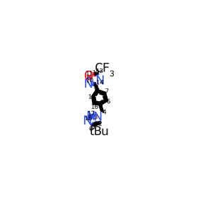 CC(C)(C)c1cn(Cc2ccc(-c3noc(C(F)(F)F)n3)cc2)nn1